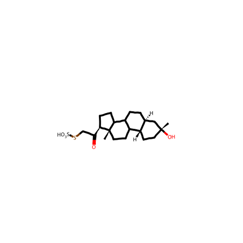 C[C@@]1(O)CC[C@@H]2C3CC[C@@]4(C)C(CC[C@@H]4C(=O)CSS(=O)(=O)O)C3CC[C@H]2C1